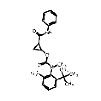 Cc1cccc(C(C)(C)C)c1N(C)C(=O)OC1CC1C(=O)Nc1ccccc1